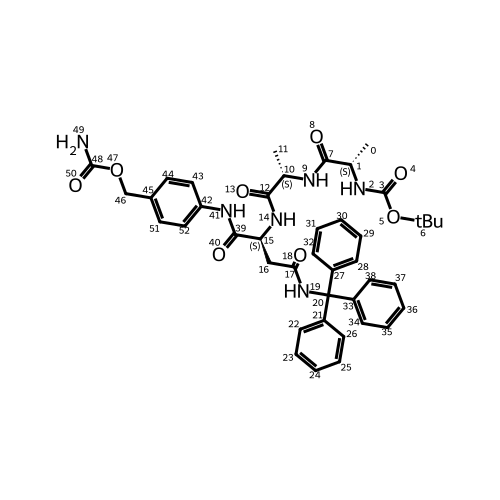 C[C@H](NC(=O)OC(C)(C)C)C(=O)N[C@@H](C)C(=O)N[C@@H](CC(=O)NC(c1ccccc1)(c1ccccc1)c1ccccc1)C(=O)Nc1ccc(COC(N)=O)cc1